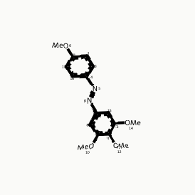 COc1ccc(/N=N/c2cc(OC)c(OC)c(OC)c2)cc1